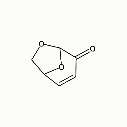 O=C1C=CC2COC1O2